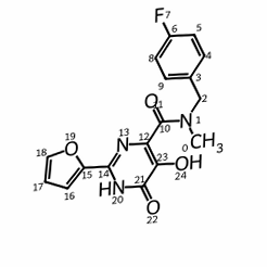 CN(Cc1ccc(F)cc1)C(=O)c1nc(-c2ccco2)[nH]c(=O)c1O